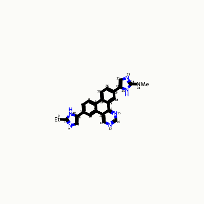 CCc1ncc(-c2ccc3c(c2)c2cncnc2c2cc(-c4cnc(NC)[nH]4)ccc32)[nH]1